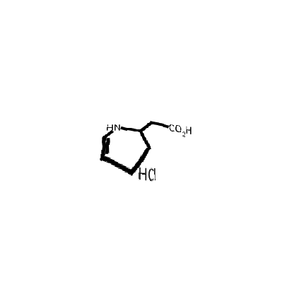 Cl.O=C(O)CC1CCC=CN1